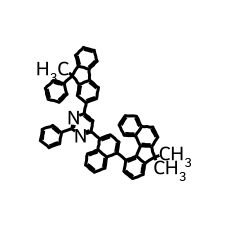 CC1(C)c2cccc(-c3ccc(-c4cc(-c5ccc6c(c5)C(C)(c5ccccc5)c5ccccc5-6)nc(-c5ccccc5)n4)c4ccccc34)c2-c2c1ccc1ccccc21